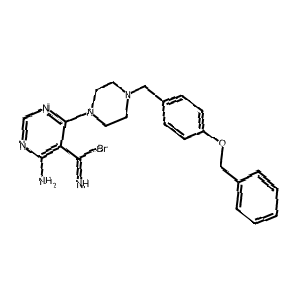 N=C(Br)c1c(N)ncnc1N1CCN(Cc2ccc(OCc3ccccc3)cc2)CC1